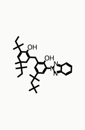 CCC(C)(C)C1=CC(C)(C(C)(C)CC)CC(Cc2cc(C(C)(C)CC(C)(C)C)cc(-n3nc4ccccc4n3)c2O)=C1O